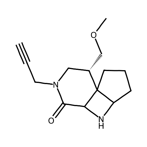 C#CCN1C[C@H](COC)C23CCCC2NC3C1=O